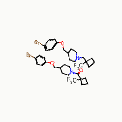 FC(F)(F)C1(CN2CCC(COc3ccc(Br)cc3)CC2)CCC1.O=C(N1CCC(COc2ccc(Br)cc2)CC1)C1(C(F)(F)F)CCC1